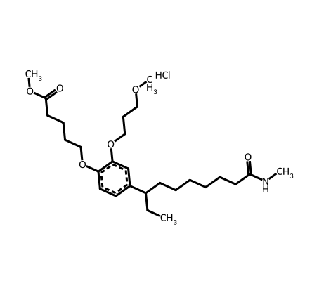 CCC(CCCCCCC(=O)NC)c1ccc(OCCCCC(=O)OC)c(OCCCOC)c1.Cl